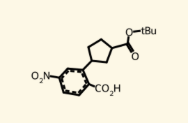 CC(C)(C)OC(=O)C1CCC(c2cc([N+](=O)[O-])ccc2C(=O)O)C1